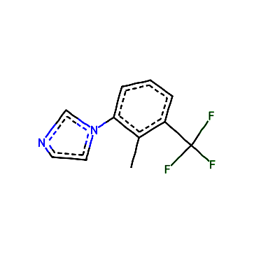 Cc1c(-n2ccnc2)cccc1C(F)(F)F